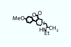 CCNC(C)CN1CCc2c(c(=O)oc3cc(OC)ccc23)C1